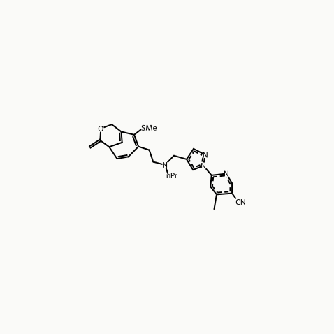 C=C1OCC2=CC1C=CC(CCN(CCC)Cc1cnn(-c3cc(C)c(C#N)cn3)c1)=C2SC